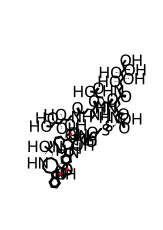 CC[C@](C)(O)C[C@H]1CNCCc2c([nH]c3ccccc23)[C@@](C(=O)OC)(c2cc3c(cc2OC)N(C)[C@H]2[C@@](O)(C(=O)NNC(=O)OCCSSC[C@H](NC(=O)[C@H](CCC(=O)NC[C@H](O)[C@@H](O)[C@H](O)[C@H](O)CO)NC(=O)[C@H](CCC(=O)O)NC(=O)[C@H](CCC(=O)NC[C@H](O)[C@@H](O)[C@H](O)[C@H](O)CO)NC)C(=O)O)[C@H](O)[C@]4(CC)C=CCN5CC[C@]32[C@@H]54)C1